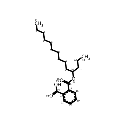 CCCCCCCCCCC(CCC)OC(=O)c1ccccc1C(=O)O